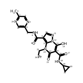 Cc1cnc(CNC(=O)c2cnn3c(O)c(C(=O)NC4CC4)c(=O)n(CC(C)C)c23)cn1